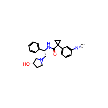 [C-]#[N+]c1cccc(C2(C(=O)N[C@H](CN3CC[C@H](O)C3)c3ccccc3)CC2)c1